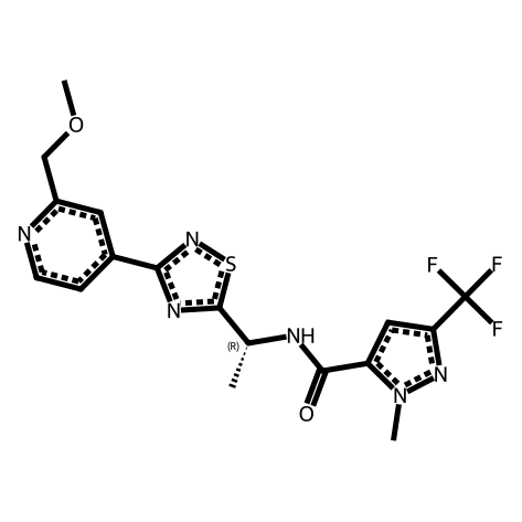 COCc1cc(-c2nsc([C@@H](C)NC(=O)c3cc(C(F)(F)F)nn3C)n2)ccn1